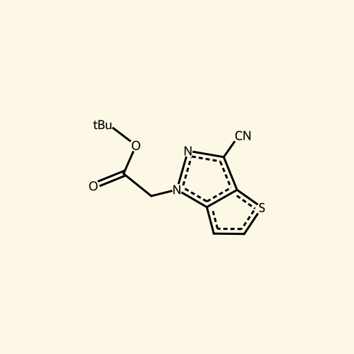 CC(C)(C)OC(=O)Cn1nc(C#N)c2sccc21